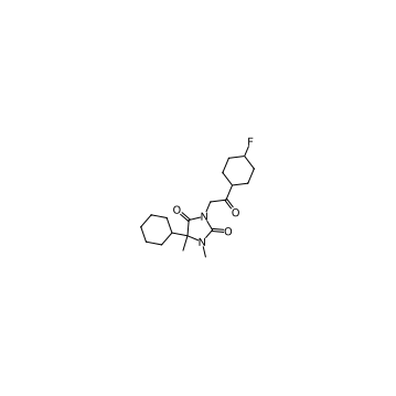 CN1C(=O)N(CC(=O)C2CCC(F)CC2)C(=O)C1(C)C1CCCCC1